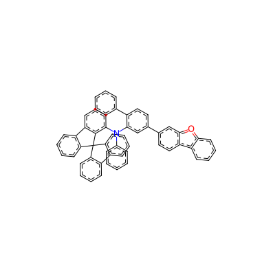 c1ccc(-c2ccc(-c3ccc4c(c3)oc3ccccc34)cc2N(c2ccccc2)c2cccc3c2C2(c4ccccc4-c4ccccc42)c2ccccc2-3)cc1